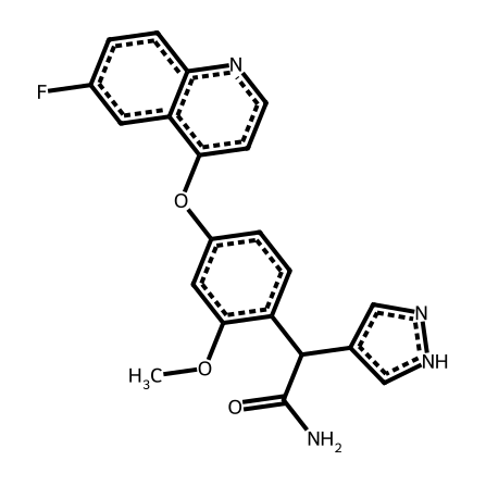 COc1cc(Oc2ccnc3ccc(F)cc23)ccc1C(C(N)=O)c1cn[nH]c1